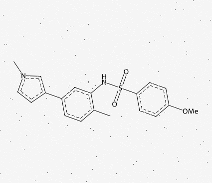 COc1ccc(S(=O)(=O)Nc2cc(-c3ccn(C)c3)ccc2C)cc1